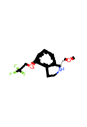 COC[C@@H]1NCCc2c(OCC(F)(F)F)cccc21